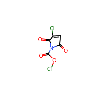 O=C1C=C(Cl)C(=O)N1C(=O)OCl